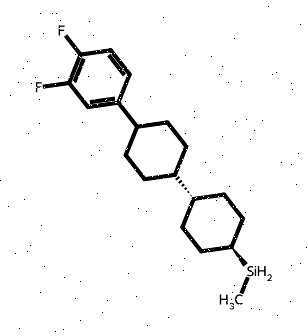 C[SiH2][C@H]1CC[C@H](C2CCC(c3ccc(F)c(F)c3)CC2)CC1